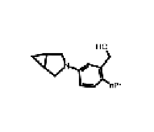 C[CH]Cc1ccc(N2CC3CC3C2)cc1CO